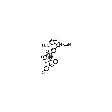 Cc1ccc(O)c(-c2nn(CCC#N)cc2-c2ccc(NC(=O)[C@@H]3COCCN3C(=O)[C@H](NC(=O)N3CCC(=O)CC3)c3ccccc3)cc2)c1